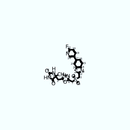 CC1(Cc2nnc(CS(=O)(=O)Cc3nc4ccc(-c5ccc(F)nc5)cc4s3)o2)NC(=O)NC1=O